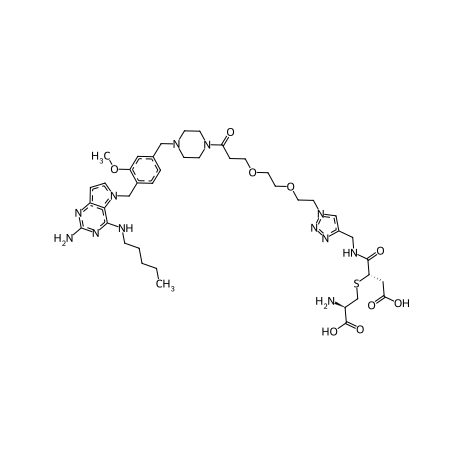 CCCCCNc1nc(N)nc2ccn(Cc3ccc(CN4CCN(C(=O)CCOCCOCCn5cc(CNC(=O)[C@H](CC(=O)O)SC[C@H](N)C(=O)O)nn5)CC4)cc3OC)c12